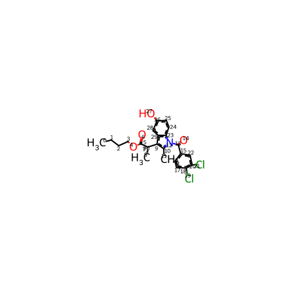 CCCCOC(=O)[C@H](C)c1c(C)n(C(=O)c2ccc(Cl)c(Cl)c2)c2ccc(O)cc12